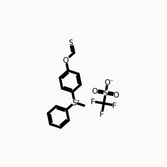 C[S+](c1ccccc1)c1ccc(OC=S)cc1.O=S(=O)([O-])C(F)(F)F